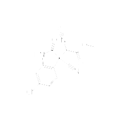 [C-]#[N+]C(C(=O)OC)C1(C#N)C(=O)Nc2cc(Cl)ccc21